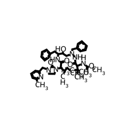 CCC(C)C(C(=O)NC(Cc1ccccc1)C(O)CN(Cc1ccccc1)NC(=O)C(NC(=O)OC)C(C)(C)C)N1CCN(Cc2cccc(C)n2)C1=O